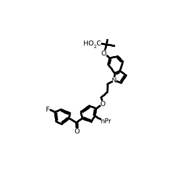 CCCc1cc(C(=O)c2ccc(F)cc2)ccc1OCCCn1ccc2ccc(OC(C)(C)C(=O)O)cc21